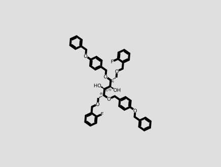 O[C@@H]([C@H](O)[C@@H](COCc1ccccc1F)OCc1ccc(OCc2ccccc2)cc1)[C@@H](COCc1ccccc1F)OCc1ccc(OCc2ccccc2)cc1